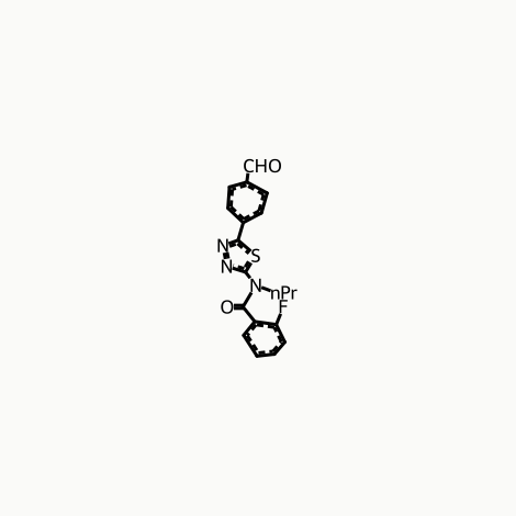 CCCN(C(=O)c1ccccc1F)c1nnc(-c2ccc(C=O)cc2)s1